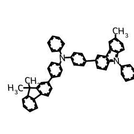 Cc1ccc2c(c1)c1cc(-c3ccc(N(c4ccccc4)c4ccc(-c5ccc6c(c5)C(C)(C)c5ccccc5-6)cc4)cc3)ccc1n2-c1ccccc1